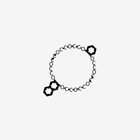 c1ccc2c(c1)OCCOCCOCCOCCOc1cc3ccccc3cc1OCCOCCOCCOCCO2